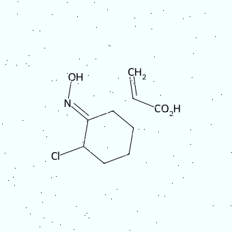 C=CC(=O)O.ON=C1CCCCC1Cl